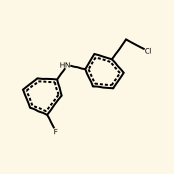 Fc1cccc(Nc2cccc(CCl)c2)c1